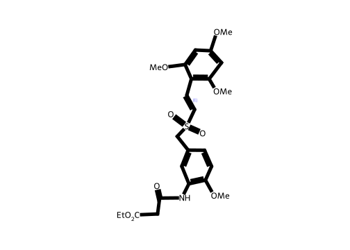 CCOC(=O)CC(=O)Nc1cc(CS(=O)(=O)/C=C/c2c(OC)cc(OC)cc2OC)ccc1OC